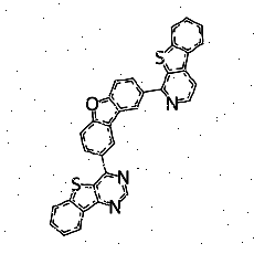 c1ccc2c(c1)sc1c(-c3ccc4oc5ccc(-c6ncnc7c6sc6ccccc67)cc5c4c3)nccc12